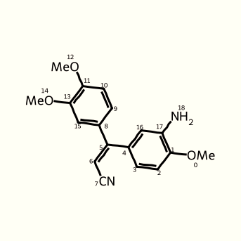 COc1ccc(/C(=C\C#N)c2ccc(OC)c(OC)c2)cc1N